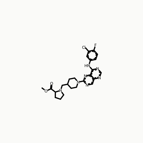 COC(=O)C1CCCN1CC1CCN(c2ncc3ncnc(Nc4ccc(F)c(Cl)c4)c3n2)CC1